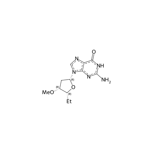 CC[C@H]1O[C@@H](n2cnc3c(=O)[nH]c(N)nc32)C[C@H]1OC